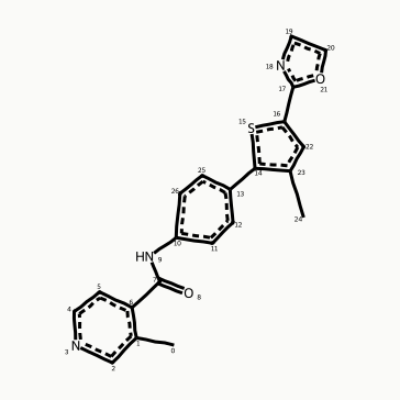 Cc1cnccc1C(=O)Nc1ccc(-c2sc(-c3ncco3)cc2C)cc1